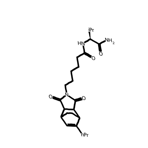 CCCC1=CC2CCC1C1C(=O)N(CCCCCC(=O)N[C@H](C(N)=O)C(C)C)C(=O)C21